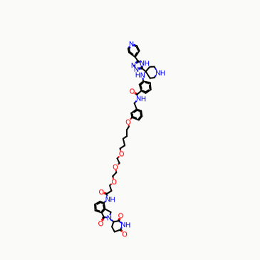 O=C1CCC(N2Cc3c(NC(=O)CCOCCOCCOCCCCCCOc4cccc(CNC(=O)c5cccc(NC6(c7nnc(-c8ccncc8)[nH]7)CCNCC6)c5)c4)cccc3C2=O)C(=O)N1